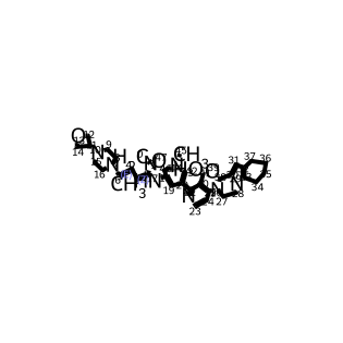 C=N/C(=C\C=C(/C)N1CCN(C2COC2)CC1)Nc1cc(-c2nccc(N3CCn4c(cc5c4CCCC5)C3=O)c2CO)cn(C)c1=O